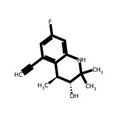 C#Cc1cc(F)cc2c1[C@H](C)[C@@H](O)C(C)(C)N2